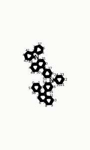 c1ccc(-c2ccc3ccccc3c2-c2ccc(N(c3ccccc3)c3ccc(-c4ccc(-n5c6ccccc6c6ccccc65)c5ccccc45)cc3)cc2)cc1